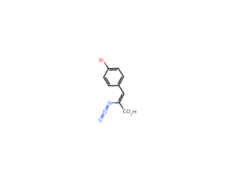 [N-]=[N+]=NC(=Cc1ccc(Br)cc1)C(=O)O